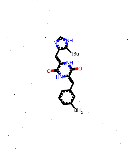 Bc1cccc(/C=c2\[nH]c(=O)/c(=C/c3nc[nH]c3C(C)(C)C)[nH]c2=O)c1